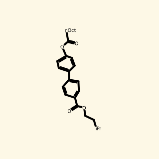 CCCCCCCCC(=O)Oc1ccc(-c2ccc(C(=O)OCCC(C)C)cc2)cc1